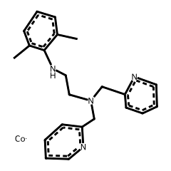 Cc1cccc(C)c1NCCN(Cc1ccccn1)Cc1ccccn1.[Co]